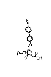 COCCN1C(=O)[C@H](CC(=O)O)C[C@H]1COc1ccc(-c2ccc(C#N)cc2)cc1